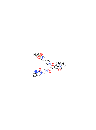 Cc1cc(C[C@@H](OC(=O)N2CCC(N3CCc4ccccc4NC3=O)CC2)C(=O)N2CCC(C3CCN(S(C)(=O)=O)CC3)CC2)cc2c1N(C)CCO2